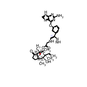 C=C[C@]1(C)C[C@@H](OC(=O)CN/C=C(\N=N)c2cccc(Oc3nc(N)nc4[nH]cnc34)c2)[C@]2(C)[C@H](C)CC[C@]3(CCC(=O)[C@H]32)[C@@H](C)[C@@H]1O